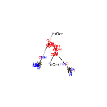 CCCCCCCC/C=C\CCCCCCCC(=O)OC[C@H](COP(=O)(O)OCC(O)COP(=O)(O)OC[C@@H](COC(=O)CCCCCCC/C=C\CCCCCCCC)OC(=O)CCCCCCCCCCCNC(=O)CCCC[C@@H]1SC[C@@H]2NC(=O)N[C@@H]21)OC(=O)CCCCCCCCCCCNC(=O)CCCC[C@@H]1SC[C@@H]2NC(=O)N[C@@H]21.N.N